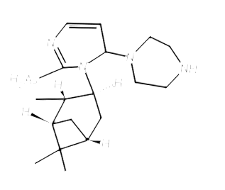 C[C@@H]1[C@@H](N2C([AsH2])=NC=CC2N2CCNCC2)C[C@H]2C[C@@H]1C2(C)C